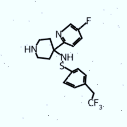 Fc1ccc(C2(NSc3ccc(CC(F)(F)F)cc3)CCNCC2)nc1